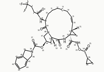 O=C(CCC(F)(F)F)N[C@H]1CCCCC/C=C\[C@@H]2C[C@@]2(C(=O)NOS(=O)C2CC2)NC(=O)[C@@H]2C[C@@H](OC(=O)N3Cc4ccccc4C3)CN2C1=O